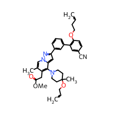 C=CCCOc1ccc(C#N)cc1-c1cccc(-c2cc3c(N4CCC(C)(OCC=C)CC4)c(CC(=O)OC)c(C)cn3n2)c1